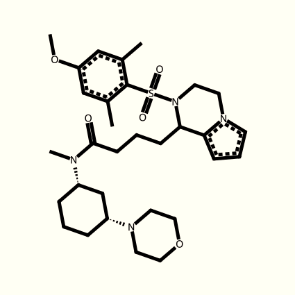 COc1cc(C)c(S(=O)(=O)N2CCn3cccc3C2CCCC(=O)N(C)[C@H]2CCC[C@@H](N3CCOCC3)C2)c(C)c1